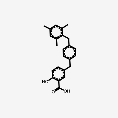 Cc1cc(C)c(Cc2ccc(Cc3ccc(O)c(C(=O)O)c3)cc2)c(C)c1